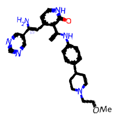 C=C(Nc1ccc(C2CCN(CCOC)CC2)cc1)c1c(/C=C(\N)c2cncnc2)cc[nH]c1=O